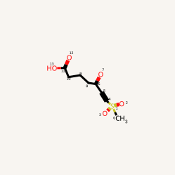 CS(=O)(=O)C#CC(=O)CCCC(=O)O